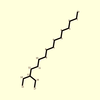 [CH2]CCCCCCCCCCCCC(CC)CC